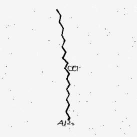 CCCCCCCCCCCCCCCCCCC[CH2][Al+2].[Cl-].[Cl-]